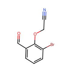 N#CCOc1c(Br)cccc1C=O